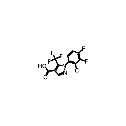 O=C(O)c1cnn(-c2ccc(F)c(F)c2Cl)c1C(F)(F)F